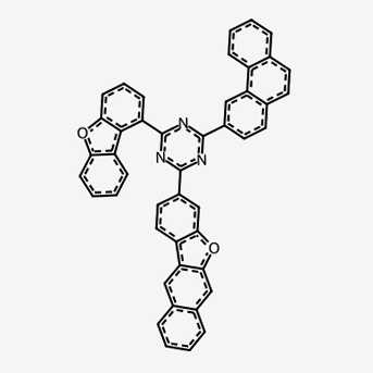 c1ccc2cc3c(cc2c1)oc1cc(-c2nc(-c4ccc5ccc6ccccc6c5c4)nc(-c4cccc5oc6ccccc6c45)n2)ccc13